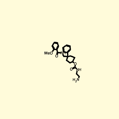 COc1ccccc1C(=O)NCC1(c2ccccc2)CCC(OC(=O)NCCN)CC1